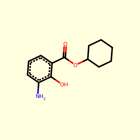 Nc1cccc(C(=O)OC2CCCCC2)c1O